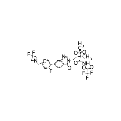 C[C@@](CCn1cnc2cc(-c3ccc(CN4CC(F)(F)C4)cc3F)ccc2c1=O)(C(=O)NOC(=O)C(F)(F)F)S(C)(=O)=O